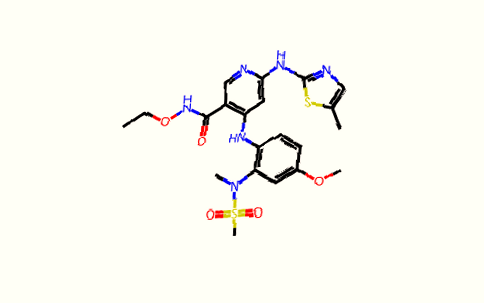 CCONC(=O)c1cnc(Nc2ncc(C)s2)cc1Nc1ccc(OC)cc1N(C)S(C)(=O)=O